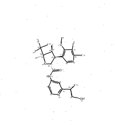 COc1c([C@H]2[C@H](C(=O)Nc3ccnc(C(F)CO)c3)O[C@@](C)(C(F)(F)F)[C@H]2C)ccc(F)c1F